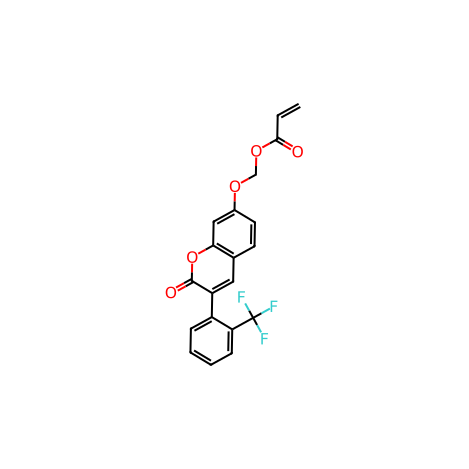 C=CC(=O)OCOc1ccc2cc(-c3ccccc3C(F)(F)F)c(=O)oc2c1